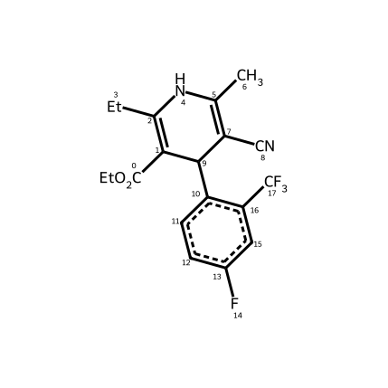 CCOC(=O)C1=C(CC)NC(C)=C(C#N)C1c1ccc(F)cc1C(F)(F)F